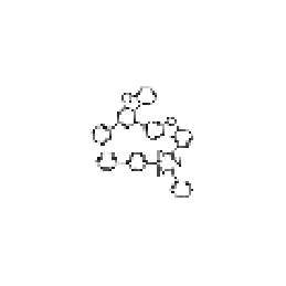 c1ccc(-c2ccc(-c3nc(-c4ccccc4)nc(-c4cccc5oc6cc(-c7cc(-c8ccccc8)cc8oc9ccccc9c78)ccc6c45)n3)cc2)cc1